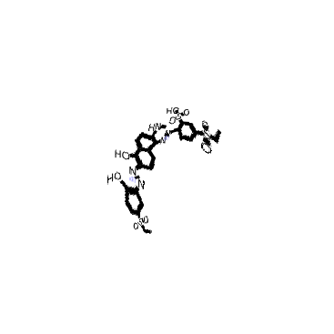 CCS(=O)(=O)c1ccc(O)c(/N=N/c2ccc3c(/N=N/c4ccc(S(=O)(=O)CC)cc4S(=O)(=O)O)c(NC)ccc3c2O)c1